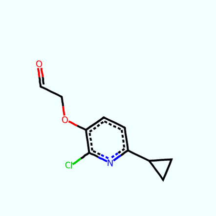 O=CCOc1ccc(C2CC2)nc1Cl